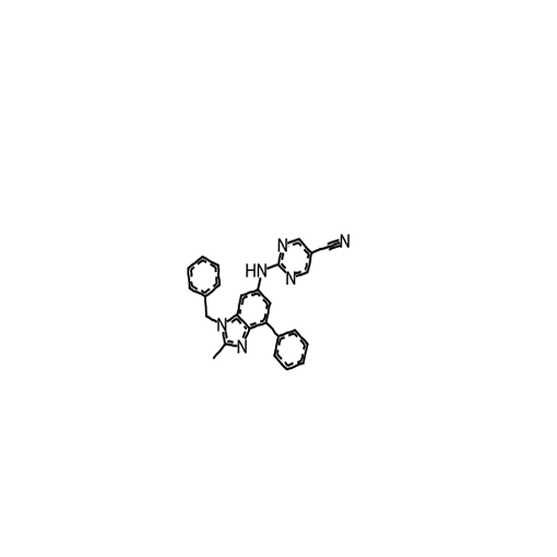 Cc1nc2c(-c3ccccc3)cc(Nc3ncc(C#N)cn3)cc2n1Cc1ccccc1